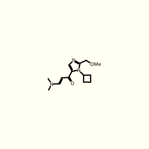 COCc1ncc(C(=O)C=CN(C)C)n1C1CCC1